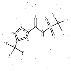 O=C(NS(=O)(=O)C(F)(F)F)c1nnc(C(F)(F)F)s1